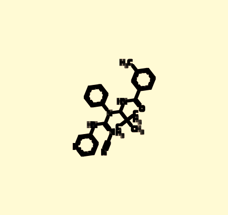 Cc1cccc(C(=O)NC(N(/C(=N/C#N)Nc2cccnc2)c2ccccc2)C(C)(C)C)c1